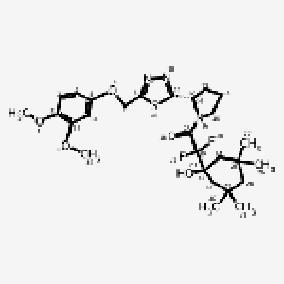 COc1ccc(OCc2nnc([C@@H]3CCCN3C(=O)C(F)(F)C3(O)CC(C)(C)CC(C)(C)C3)s2)cc1OC